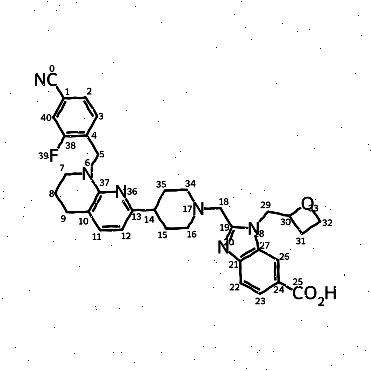 N#Cc1ccc(CN2CCCc3ccc(C4CCN(Cc5nc6ccc(C(=O)O)cc6n5CC5CCO5)CC4)nc32)c(F)c1